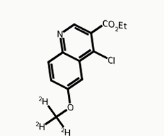 [2H]C([2H])([2H])Oc1ccc2ncc(C(=O)OCC)c(Cl)c2c1